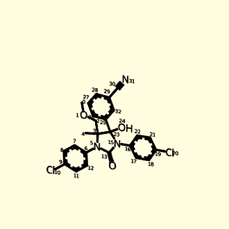 COCC1(C)N(c2ccc(Cl)cc2)C(=O)N(c2ccc(Cl)cc2)C1(O)c1cccc(C#N)c1